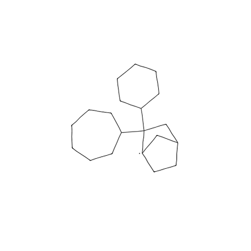 C1CCCC(C2(C3CCCCC3)CC3CC[C]2C3)CC1